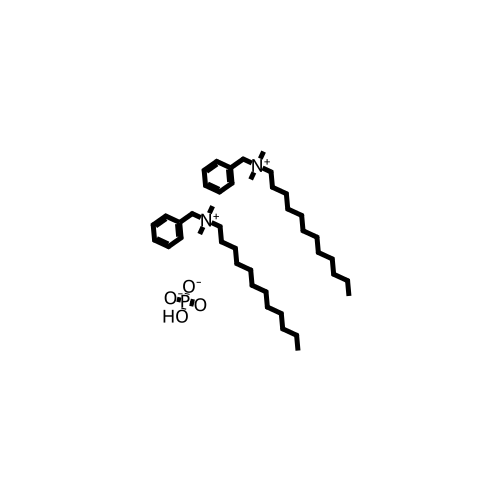 CCCCCCCCCCCC[N+](C)(C)Cc1ccccc1.CCCCCCCCCCCC[N+](C)(C)Cc1ccccc1.O=P([O-])([O-])O